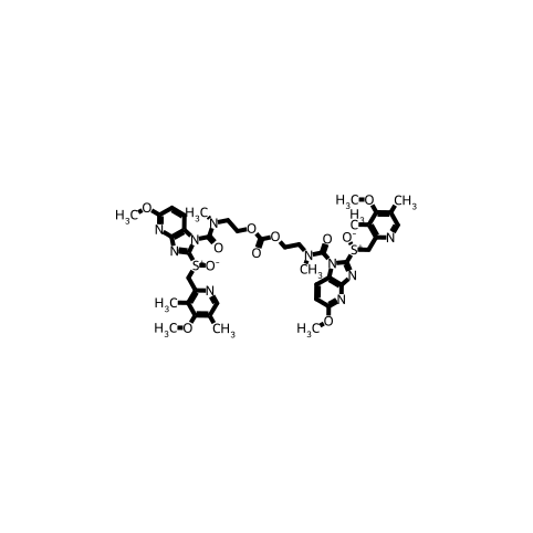 COc1ccc2c(n1)nc([S+]([O-])Cc1ncc(C)c(OC)c1C)n2C(=O)N(C)CCOC(=O)OCCN(C)C(=O)n1c([S+]([O-])Cc2ncc(C)c(OC)c2C)nc2nc(OC)ccc21